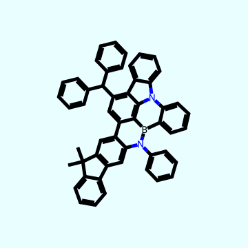 CC1(C)c2ccccc2-c2cc3c(cc21)-c1cc(C(c2ccccc2)c2ccccc2)c2c4ccccc4n4c2c1B(c1ccccc1-4)N3c1ccccc1